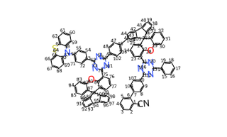 N#Cc1ccccc1-c1ccc(-c2nc(-c3ccccc3)nc(-c3cccc4c3Oc3ccccc3C43c4ccccc4-c4ccc(-c5ccc(-c6nc(-c7ccc(N8c9ccccc9Sc9ccccc98)cc7)nc(-c7cccc8c7Oc7ccccc7C87c8ccccc8-c8ccccc87)n6)cc5)cc43)n2)cc1